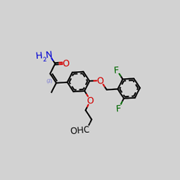 C/C(=C/C(N)=O)c1ccc(OCc2c(F)cccc2F)c(OCCC=O)c1